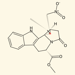 COC(=O)[C@@H]1Cc2c([nH]c3ccccc23)[C@@]23C[C@H](C)[C@@H](C[N+](=O)[O-])[C@@H]2CC(=O)N13